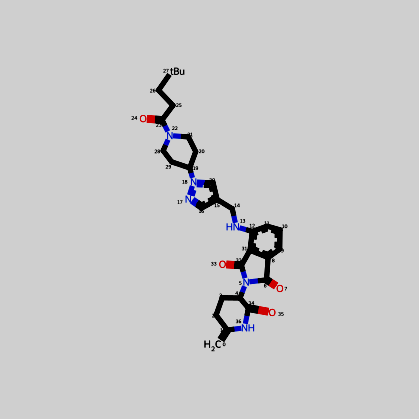 C=C1CCC(N2C(=O)c3cccc(NCc4cnn(C5CCN(C(=O)CCC(C)(C)C)CC5)c4)c3C2=O)C(=O)N1